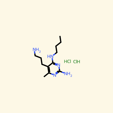 CCCCNc1nc(N)nc(C)c1CCCN.Cl.Cl